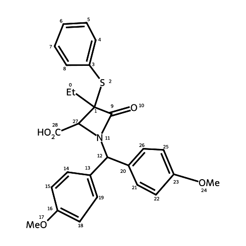 CCC1(Sc2ccccc2)C(=O)N(C(c2ccc(OC)cc2)c2ccc(OC)cc2)C1C(=O)O